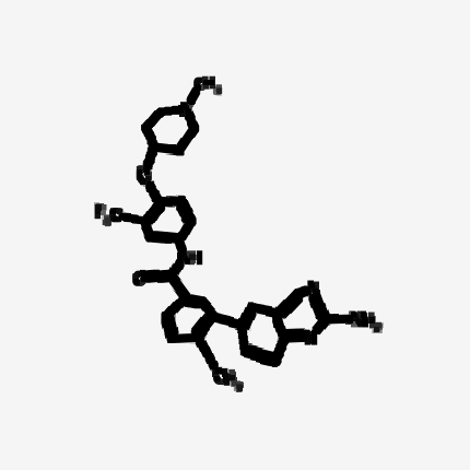 Cc1ccc(C(=O)Nc2ccc(OC3CCN(C)CC3)c(C(F)(F)F)c2)cc1-c1ccc2nc(N)ncc2c1